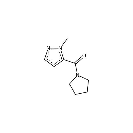 Cn1nccc1C(=O)N1CCCC1